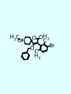 CON1CCC2(CC1)OC(=O)C(c1c(C)ccc(Br)c1C)=C2OCc1ccccc1